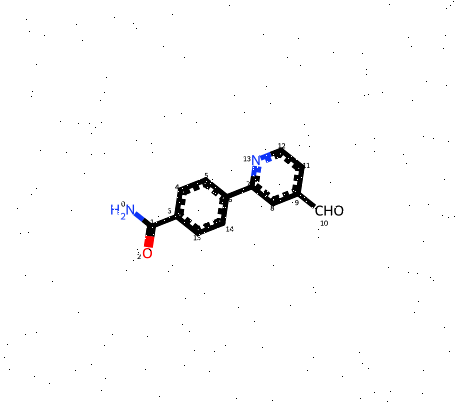 NC(=O)c1ccc(-c2cc(C=O)ccn2)cc1